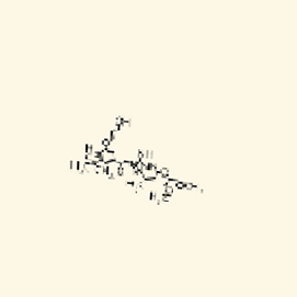 COCC(COC)Oc1cc(C)c2nn(CC(=O)c3cc(OCCCO)cc(C(C)(C)C)c3)c(=N)n2n1